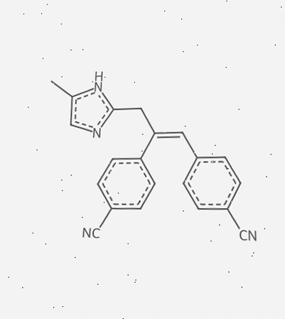 Cc1cnc(C/C(=C/c2ccc(C#N)cc2)c2ccc(C#N)cc2)[nH]1